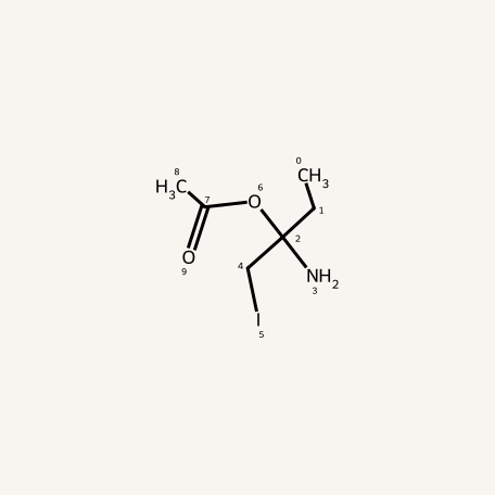 CCC(N)(CI)OC(C)=O